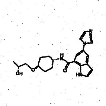 CC(O)CO[C@H]1CC[C@H](NC(=O)c2cc(-n3ccnc3)cc3cc[nH]c23)CC1